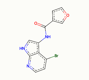 O=C(Nc1c[nH]c2nccc(Br)c12)c1ccoc1